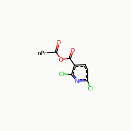 CCCC(=O)OC(=O)c1ccc(Cl)nc1Cl